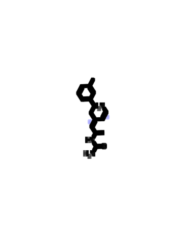 C=C(/C=C(\C=C/N)CCc1cccc(C)c1)NC(N)=O